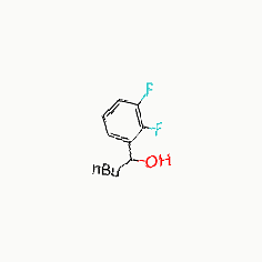 CCCCC(O)c1cccc(F)c1F